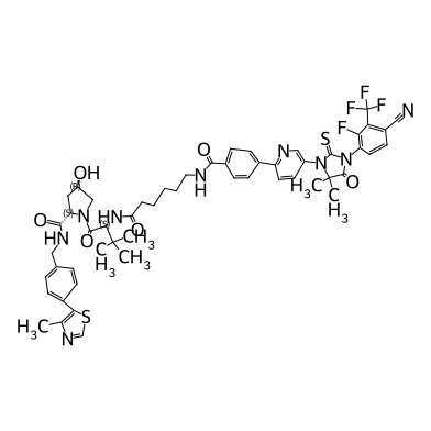 Cc1ncsc1-c1ccc(CNC(=O)[C@@H]2C[C@@H](O)CN2C(=O)[C@@H](NC(=O)CCCCCNC(=O)c2ccc(-c3ccc(N4C(=S)N(c5ccc(C#N)c(C(F)(F)F)c5F)C(=O)C4(C)C)cn3)cc2)C(C)(C)C)cc1